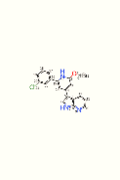 CC(C)(C)OC1C=C(c2c[nH]c3ncccc23)C=C(c2cccc(Cl)c2)N1